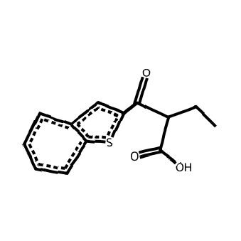 CCC(C(=O)O)C(=O)c1cc2ccccc2s1